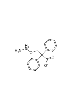 N[SiH2]OCC(c1ccccc1)(c1ccccc1)[N+](=O)[O-]